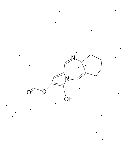 O=COc1cc2n(c1O)C=C1CCCCC1N=C2